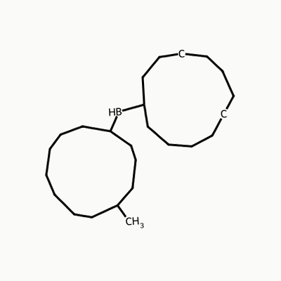 CC1CCCCCCCC(BC2CCCCCCCCCCC2)CCC1